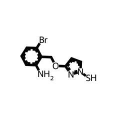 Nc1cccc(Br)c1COc1ccn(S)n1